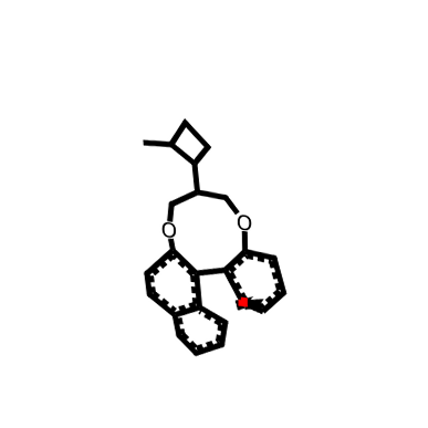 CC1CCC1C1COc2ccc3ccccc3c2-c2c(ccc3ccccc23)OC1